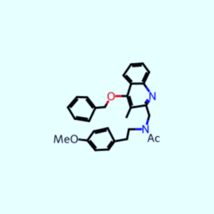 COc1ccc(CCN(Cc2nc3ccccc3c(OCc3ccccc3)c2C)C(C)=O)cc1